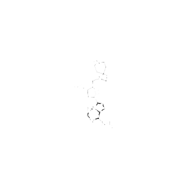 Nc1ncnn2c([C@H]3C[C@H](O)[C@@H](CN4CCC45CCNCC5)O3)ccc12